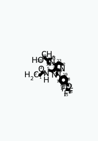 C=CC(=O)NCc1nn(-c2ccc(OC(F)(F)F)cc2)c2nccc(N3CC([C@@H](C)O)C3)c12